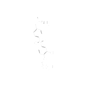 C[C@@H](N)Cc1ccc(S(=O)(=O)c2ccc(OCC(=O)O)c(Cl)c2)cc1